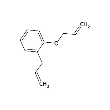 C=C[CH]c1ccccc1OCC=C